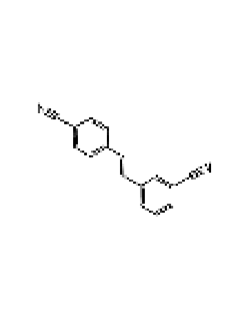 N#Cc1ccc(C=Cc2cccc(C#N)c2)cc1